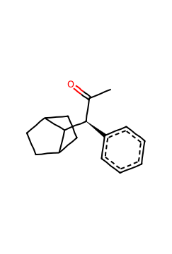 CC(=O)[C@@H](c1ccccc1)C1C2CCC1CC2